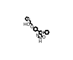 O=c1[nH]cnc2c(-c3ccc(OCC(O)CN4CCCC4)cc3)cn(-c3ccccc3)c12